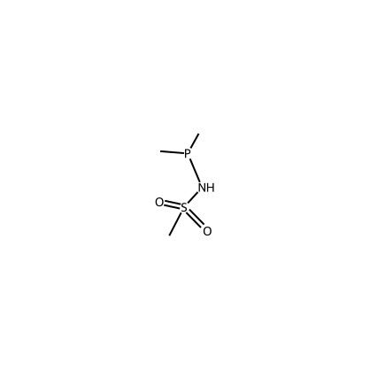 CP(C)NS(C)(=O)=O